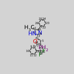 Cc1[nH]c(-c2ccc(-c3ccccc3C(F)(F)P)o2)nc1-c1ccccc1